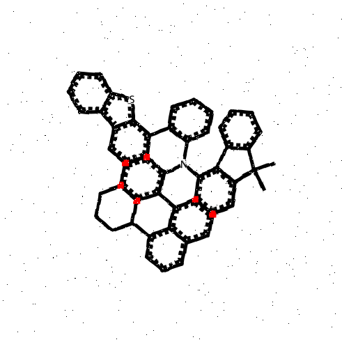 CC1(C)c2ccccc2-c2c(N(c3ccccc3-c3cccc4c3sc3ccccc34)c3ccccc3-c3cccc4cccc(C5CCCCC5)c34)cccc21